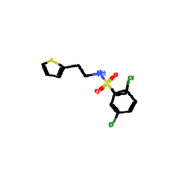 O=S(=O)(NCCc1cccs1)c1cc(Cl)ccc1Cl